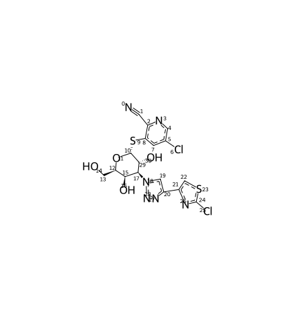 N#Cc1ncc(Cl)cc1S[C@H]1O[C@H](CO)[C@H](O)[C@H](n2cc(-c3csc(Cl)n3)nn2)[C@H]1O